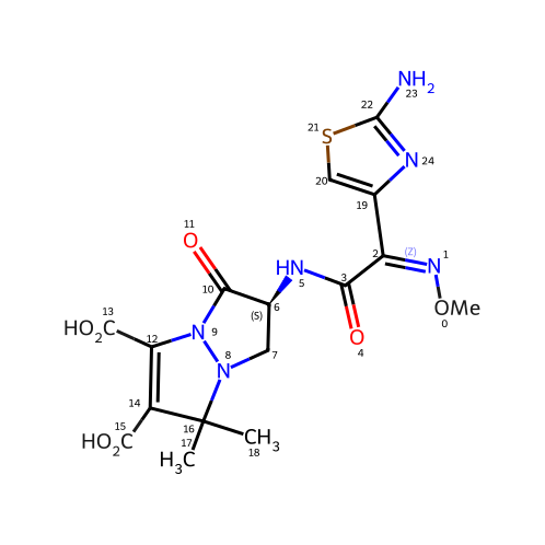 CO/N=C(\C(=O)N[C@H]1CN2N(C1=O)C(C(=O)O)=C(C(=O)O)C2(C)C)c1csc(N)n1